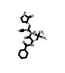 CC(C)(C)C[C@H](NC(=O)C1CCCCC1)C(=O)N[C@@H](C#N)C[C@@H]1CCNC1=O